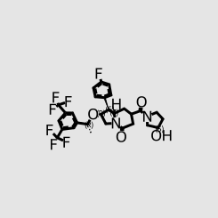 C[C@@H](O[C@H]1CN2C(=O)CC(C(=O)N3CC[C@H](O)C3)C[C@H]2[C@@H]1c1ccc(F)cc1)c1cc(C(F)(F)F)cc(C(F)(F)F)c1